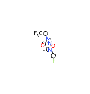 Cc1cn(Cc2ccc(F)cc2)c(C(=O)N2CCN(c3cccc(C(F)(F)F)c3)CC2)c1-c1ccco1